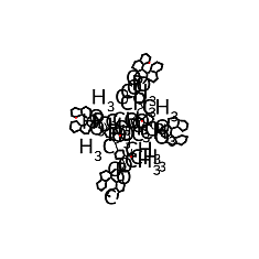 CC(C)(C)c1cc(C(C)(CC(=O)OCCOC(=O)CC(C)(c2ccc(Op3oc4ccc5ccccc5c4c4c(ccc5ccccc54)o3)c(C(C)(C)C)c2)c2ccc(Op3oc4ccc5ccccc5c4c4c(ccc5ccccc54)o3)c(C(C)(C)C)c2)c2ccc(Op3oc4ccc5ccccc5c4c4c(ccc5ccccc54)o3)c(C(C)(C)C)c2)ccc1Op1oc2ccc3ccccc3c2c2c(ccc3ccccc32)o1